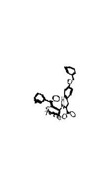 COC(=O)C(Cc1ccc(OCc2ccccc2)cc1)Nc1ccsc1C(=O)c1ccccc1